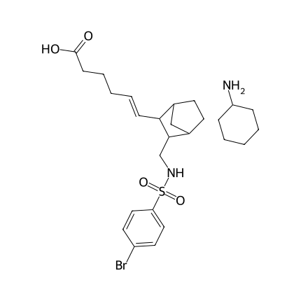 NC1CCCCC1.O=C(O)CCCC=CC1C2CCC(C2)C1CNS(=O)(=O)c1ccc(Br)cc1